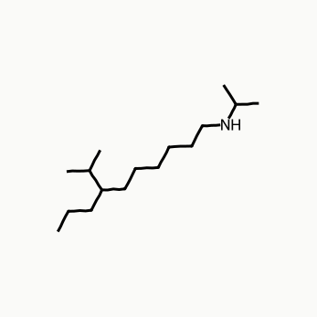 CCCC(CCCCCCNC(C)C)C(C)C